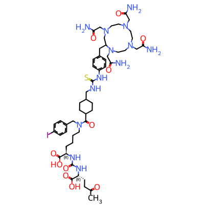 CC(=O)CC[C@@H](NC(=O)N[C@H](CCCCN(Cc1ccc(I)cc1)C(=O)C1CCC(CNC(=S)Nc2ccc(CC3CN(CC(N)=O)CCN(CC(N)=O)CCN(CC(N)=O)CCN3CC(N)=O)cc2)CC1)C(=O)O)C(=O)O